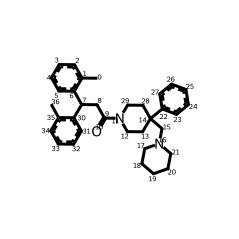 Cc1ccccc1C(CC(=O)N1CCC(CN2CCCCC2)(c2ccccc2)CC1)c1ccccc1C